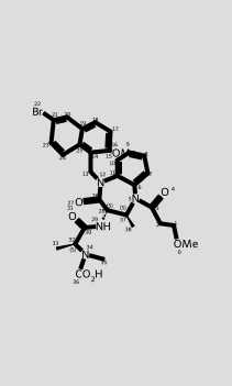 COCCC(=O)N1c2ccccc2N(Cc2c(OC)ccc3cc(Br)ccc23)C(=O)[C@@H](NC(=O)[C@H](C)N(C)C(=O)O)[C@@H]1C